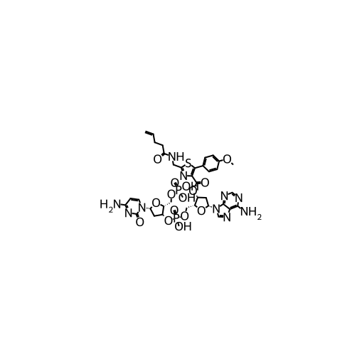 C=CCCC(=O)NCc1nc(C(=O)O[C@@H]2C[C@H](n3cnc4c(N)ncnc43)O[C@@H]2COP(=O)(O)O[C@@H]2C[C@H](n3ccc(N)nc3=O)O[C@@H]2COP(=O)(O)O)c(-c2ccc(OC)cc2)s1